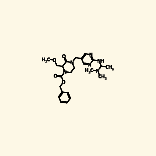 COCC1C(=O)N(Cc2cnc(NC(C)N(C)C)nc2)CCN1C(=O)OCc1ccccc1